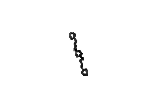 C(=Cc1ccccc1)C=Nc1ccc(N=CC=Cc2ccccc2)cc1